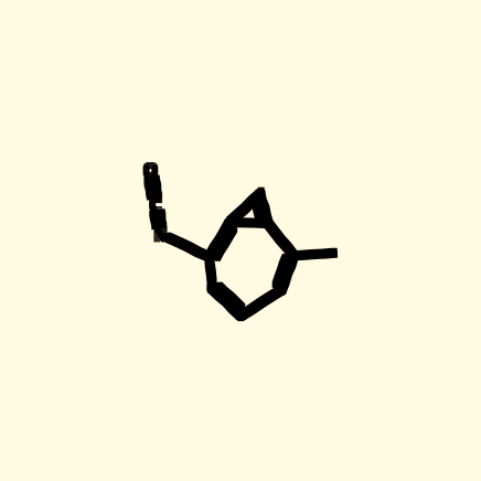 CC1=CC=CC(N=C=O)=C2C=C12